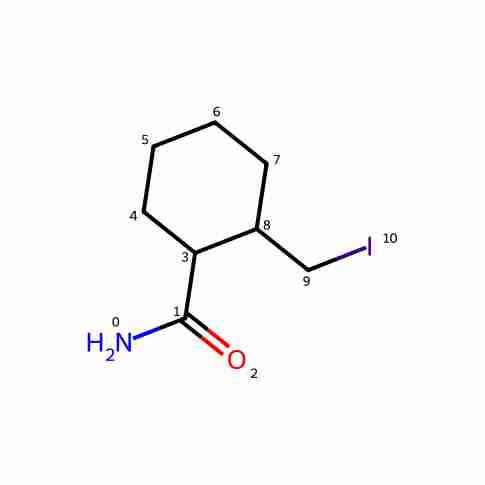 NC(=O)C1CCCCC1CI